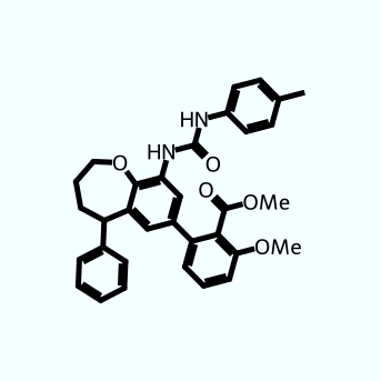 COC(=O)c1c(OC)cccc1-c1cc(NC(=O)Nc2ccc(C)cc2)c2c(c1)C(c1ccccc1)CCCO2